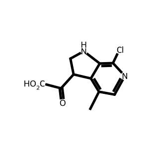 Cc1cnc(Cl)c2c1C(C(=O)C(=O)O)CN2